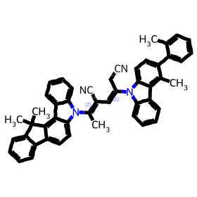 C/C(=C(C#N)\C=C(/CC#N)n1c2ccccc2c2c(C)c(-c3ccccc3C)ccc21)n1c2ccccc2c2c3c(ccc21)-c1ccccc1C3(C)C